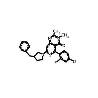 Cc1nc2cc(N3CCC(Cc4ccccc4)C3)nc(-c3ccc(Cl)cc3F)c2c(=O)n1C